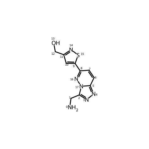 NCc1nnc2ccc(-c3cc(CO)ns3)nn12